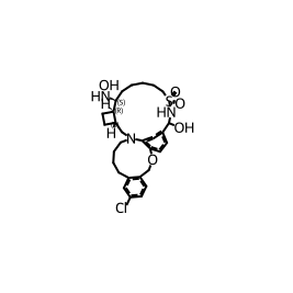 O=S1(=O)CCCCC[C@H](NO)[C@@H]2CC[C@H]2CN2CCCCc3cc(Cl)ccc3COc3ccc(cc32)C(O)N1